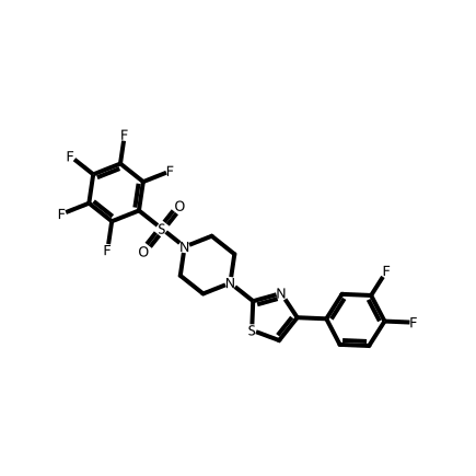 O=S(=O)(c1c(F)c(F)c(F)c(F)c1F)N1CCN(c2nc(-c3ccc(F)c(F)c3)cs2)CC1